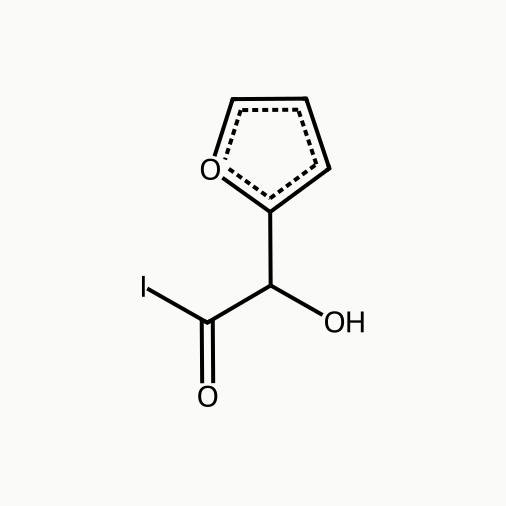 O=C(I)C(O)c1ccco1